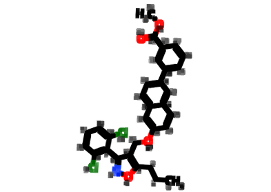 CCCc1onc(-c2c(Cl)cccc2Cl)c1COc1ccc2cc(-c3cccc(C(=O)OC)c3)ccc2c1